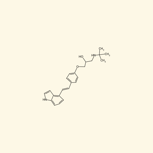 CC(C)(C)NCC(O)COc1ccc(C=Cc2cccc3[nH]ccc23)cc1